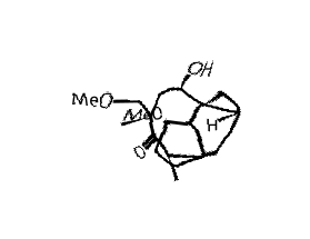 COC[C@]1(C)C[C@@H](O)[C@]23C[C@@H]2CCC2(CC[C@@H](OC)C23)[C@@H](C)C1=O